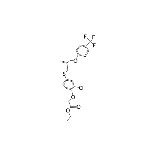 C=C(COc1ccc(C(F)(F)F)cc1)CSc1ccc(OCC(=O)OCC)c(Cl)c1